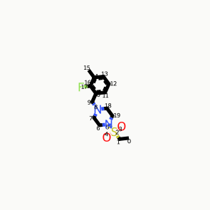 CCS(=O)(=O)N1CCN(Cc2cccc(C)c2F)CC1